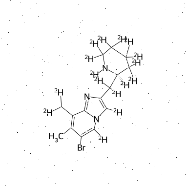 [2H]c1c(C([2H])([2H])[C@@]2([2H])N([2H])C([2H])([2H])C([2H])([2H])C([2H])([2H])C2([2H])[2H])nc2c(C([2H])[2H])c(C)c(Br)c([2H])n12